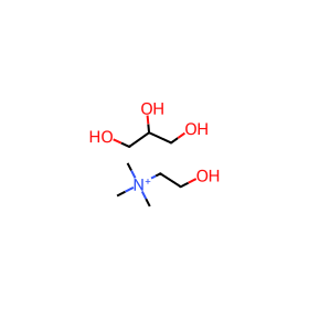 C[N+](C)(C)CCO.OCC(O)CO